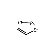 C=CCC.[Cl][Pd]